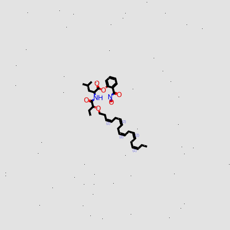 CC/C=C\C/C=C\C/C=C\C/C=C\C/C=C\CCOC(CC)C(=O)NC(CC(C)C)C(=O)Oc1ccccc1C(=O)N=O